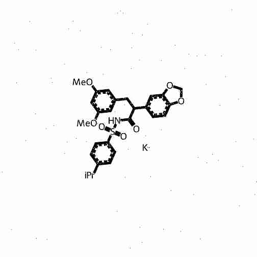 COc1cc(CC(C(=O)NS(=O)(=O)c2ccc(C(C)C)cc2)c2ccc3c(c2)OCO3)cc(OC)c1.[K]